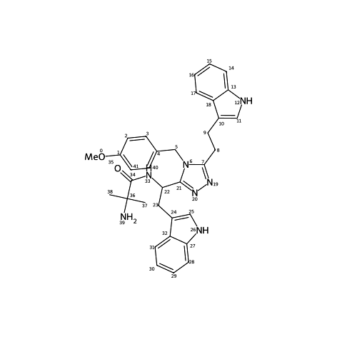 COc1ccc(Cn2c(CCc3c[nH]c4ccccc34)nnc2C(Cc2c[nH]c3ccccc23)NC(=O)C(C)(C)N)cc1